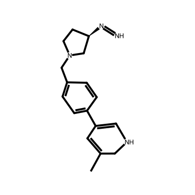 CC1=CC(c2ccc(CN3CC[C@@H](N=N)C3)cc2)=CNC1